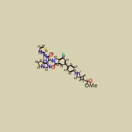 COC(=O)C1CC2(C1)CN(c1ccc(-c3cc(F)c4c(c3)C(=O)N(C(C(=O)Nc3nccs3)c3ncn5c3CCC5)C4)cc1)C2